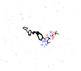 CC(N)C(NC(=O)c1ccc(C#Cc2ccc(CC3CC4CCC43)cc2)cc1)C(C)(C)NC(=O)OC(C)(C)C